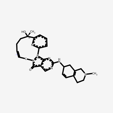 CN1CCC2=C(CC(Nc3ncc4c(=O)n5n(c4n3)-c3cccc(n3)[C@@](C)(O)CC/C=C\C5)C=C2)C1